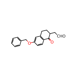 O=CCC1CCc2cc(OCc3ccccc3)ccc2C1=O